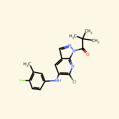 Cc1cc(Nc2cc3cnn(C(=O)C(C)(C)C)c3nc2Cl)ccc1F